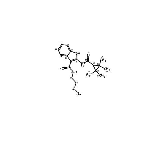 CCOCCNC(=O)c1c(NC(=O)C2C(C)(C)C2(C)C)sc2ccccc12